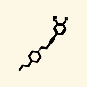 CCC[C@H]1CC[C@H](C=CC#Cc2ccc(F)c(F)c2)CC1